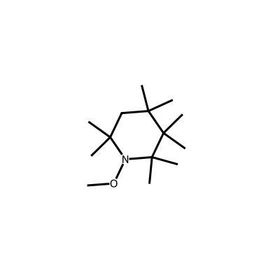 CON1C(C)(C)CC(C)(C)C(C)(C)C1(C)C